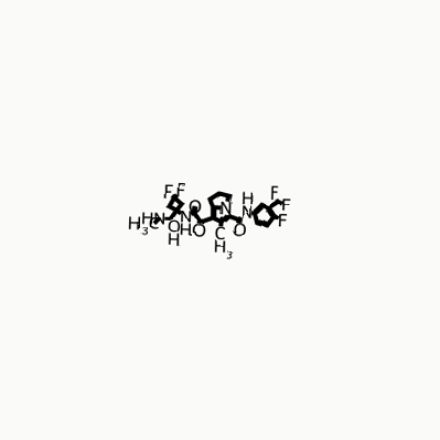 CNC(O)C1(NC(=O)C(=O)c2c(C)c(C(=O)Nc3ccc(F)c(C(F)F)c3)n3c2CCC3)CC(F)(F)C1